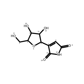 O=C1C=C(C2OC(CO)C(O)C2O)C(=O)N1